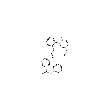 C=C(Cc1ccccc1)c1ccccc1.C=CCc1ccccc1-c1cc(C=C)ccc1C